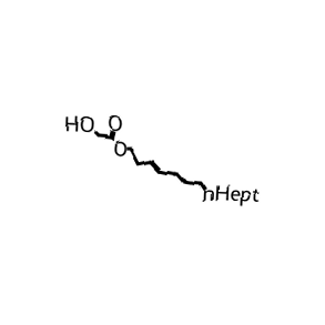 CCCCCCCCCC/C=C/CCOC(=O)CO